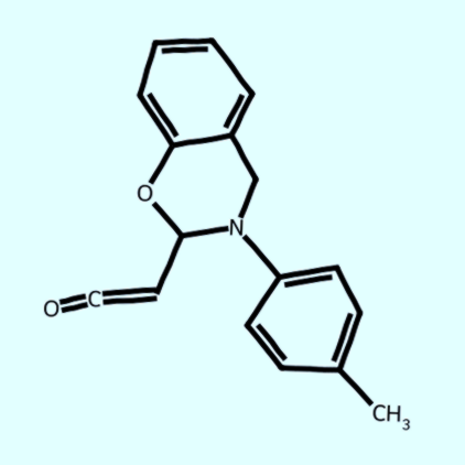 Cc1ccc(N2Cc3ccccc3OC2C=C=O)cc1